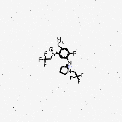 Cc1cc(F)c(/N=C2\CCCN2CC(F)(F)F)cc1[S+]([O-])CC(F)(F)F